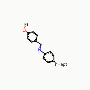 CCCCCCCc1ccc(N=Cc2ccc(OCC)cc2)cc1